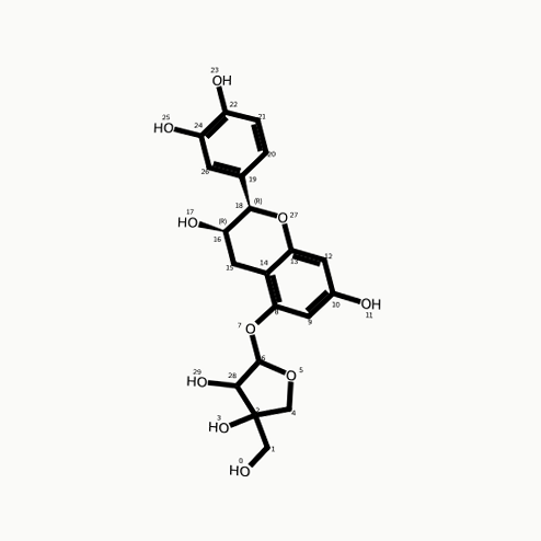 OCC1(O)COC(Oc2cc(O)cc3c2C[C@@H](O)[C@@H](c2ccc(O)c(O)c2)O3)C1O